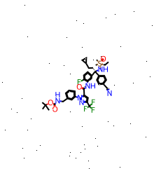 CCS(C)(C)(=O)N[C@@](CCC1CC1)(c1ccc(C#N)cc1)c1ccc(F)c(NC(=O)c2cc(C(F)(F)F)nn2-c2cccc(CNC(=O)OC(C)(C)C)c2)c1